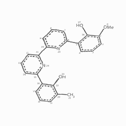 COc1cccc(-c2cccc(-c3cccc(-c4cccc(C)c4O)n3)n2)c1O